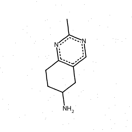 Cc1ncc2c(n1)CCC(N)C2